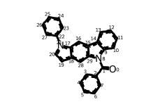 O=C(c1ccccc1)n1c2ccccc2c2cc3c(ccn3-c3ccccc3)cc21